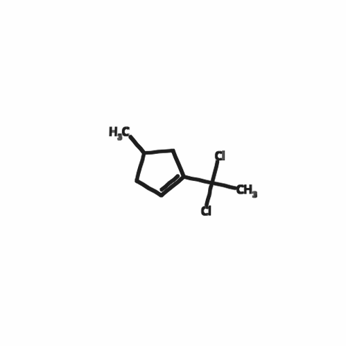 CC1CC=C(C(C)(Cl)Cl)C1